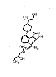 NCC(O)CNS(=O)(=O)c1ccc(N2CCC([C@H](N)CO)CC2)c(-c2nn[nH]n2)c1S(N)(=O)=O